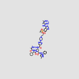 CN[C@@H](C)C(=O)NC(C(=O)N1CC(NC(=O)c2cnc(N3CCN(CCCOc4cc5ncnc(NC(=N)/C(C)=C(/C)N)c5cc4S(=O)(=O)C(C)(C)C)CC3)nc2)CC1C(=O)Nc1cc(C)nn1-c1ccccc1)C1CCCCC1